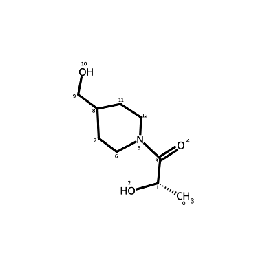 C[C@H](O)C(=O)N1CCC(CO)CC1